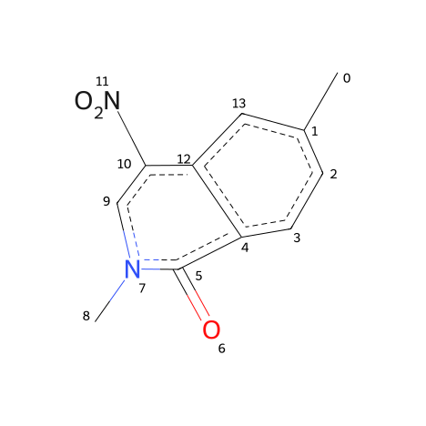 Cc1ccc2c(=O)n(C)cc([N+](=O)[O-])c2c1